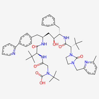 Cc1cccc(CN2CCN([C@H](C(=O)N[C@@H](Cc3ccccc3)[C@@H](O)C[C@H](Cc3ccc(-c4ccccn4)cc3)NC(=O)[C@@H](NC(=O)CN(C(=O)O)C(C)(C)C)C(C)(C)C)C(C)(C)C)C2=O)n1